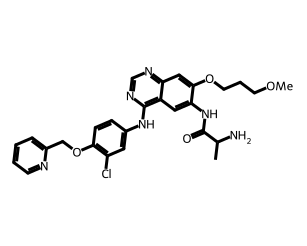 COCCCOc1cc2ncnc(Nc3ccc(OCc4ccccn4)c(Cl)c3)c2cc1NC(=O)C(C)N